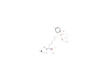 COC(=O)[C@H]1CCC[C@@H]1S(=O)(=O)c1ccc(C)cc1OCCCCCN(C(=O)OC(C)(C)C)C1CCC(F)(F)CC1